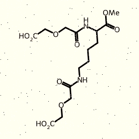 COC(=O)C(CCCCNC(=O)COCC(=O)O)NC(=O)COCC(=O)O